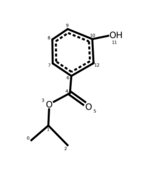 CC(C)OC(=O)c1cccc(O)c1